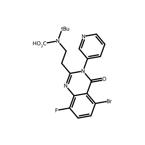 CC(C)(C)N(CCc1nc2c(F)ccc(Br)c2c(=O)n1-c1cccnc1)C(=O)O